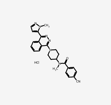 CN(C(=O)c1ccc(C#N)cc1)C1CCN(c2nnc(-c3ccnn3C)c3ccccc23)CC1.Cl